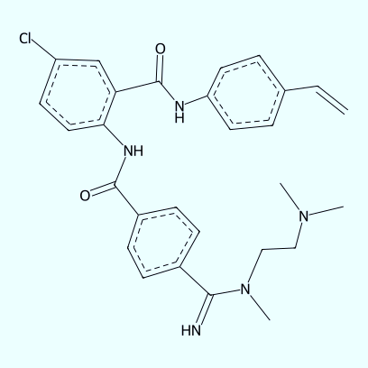 C=Cc1ccc(NC(=O)c2cc(Cl)ccc2NC(=O)c2ccc(C(=N)N(C)CCN(C)C)cc2)cc1